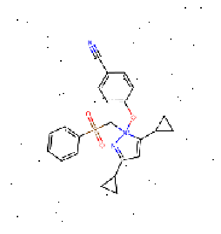 N#Cc1ccc(O[N+]2(CS(=O)(=O)c3ccccc3)N=C(C3CC3)C=C2C2CC2)cc1